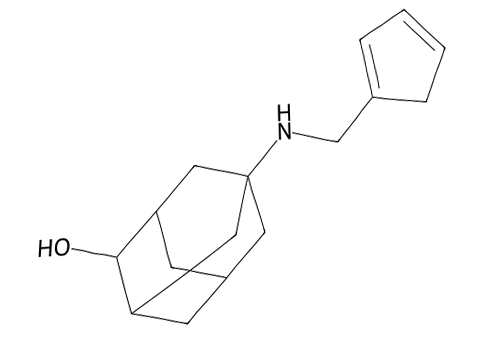 OC1C2CC3CC1CC(NCC1=CC=CC1)(C3)C2